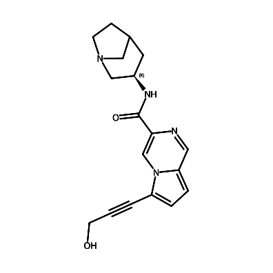 O=C(N[C@@H]1CC2CCN(C2)C1)c1cn2c(C#CCO)ccc2cn1